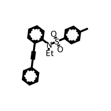 CCN(c1ccccc1C#Cc1ccccc1)S(=O)(=O)c1ccc(C)cc1